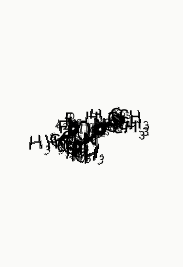 CO[C@@H](C)COc1c([C@H]2[C@H](C(=O)Nc3ccc(CO[Si](C)(C)C(C)(C)C)nc3)O[C@@](C)(C(F)(F)F)[C@H]2C)ccc(F)c1F